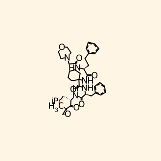 CC(C)C[C@H](NC(=O)[C@H](Cc1ccccc1)NC(=O)C1(NC(=O)[C@H](CCc2ccccc2)NC(=O)CN2CCOCC2)CCCCC1)C(=O)[C@@]1(C)CO1